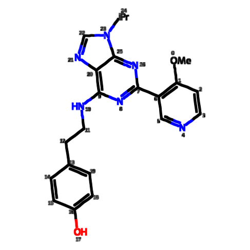 COc1ccncc1-c1nc(NCCc2ccc(O)cc2)c2ncn(C(C)C)c2n1